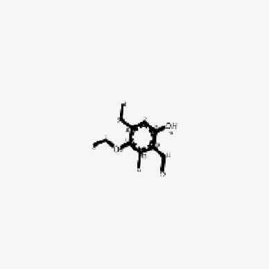 CCOc1c(CC)cc(O)c(CC)c1C